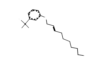 FC(F)(F)c1cccc([SiH2]CC=CCCCCCCCl)c1